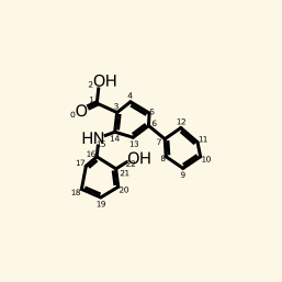 O=C(O)c1ccc(-c2ccccc2)cc1Nc1ccccc1O